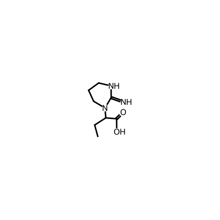 CCC(C(=O)O)N1CCCNC1=N